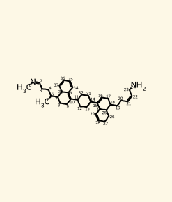 C/N=C\CCC(C)C1CCC(C2CCC(C3=CCC(CC/C=C\CN)C4CCC=CC34)CC2)=C2C=CC=CC21